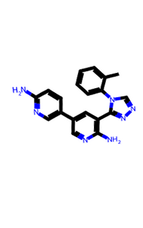 Cc1ccccc1-n1cnnc1-c1cc(-c2ccc(N)nc2)cnc1N